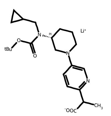 CC(C(=O)[O-])c1ccc(N2CCC[C@@H](N(CC3CC3)C(=O)OC(C)(C)C)C2)cn1.[Li+]